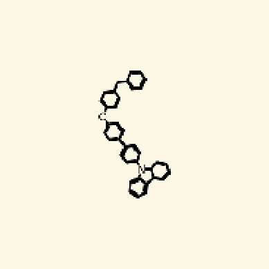 C1=CC2c3ccccc3N(c3ccc(-c4ccc(Oc5ccc(Cc6ccccc6)cc5)cc4)cc3)C2C=C1